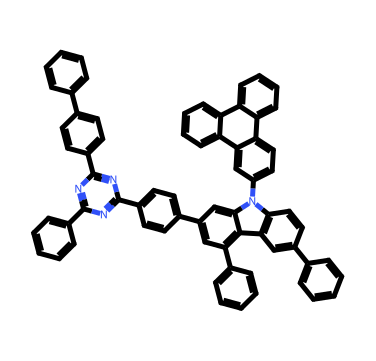 c1ccc(-c2ccc(-c3nc(-c4ccccc4)nc(-c4ccc(-c5cc(-c6ccccc6)c6c7cc(-c8ccccc8)ccc7n(-c7ccc8c9ccccc9c9ccccc9c8c7)c6c5)cc4)n3)cc2)cc1